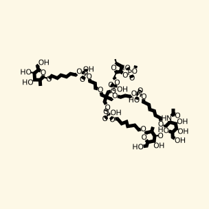 COP(=O)(O)OC1C[C@H](C)O[C@@H]1COP(=O)(O)OCC(COCCCOP(=O)(O)OCCCCCCO[C@@H]1OC(CO)[C@H](O)[C@H](O)C1C)(COCCCOP(=O)(O)OCCCCCCO[C@@H]1OC(CO)[C@H](O)[C@H](O)C1NC(C)=O)COOP(=O)(O)OCCCCCCO[C@@H]1OC(CO)[C@H](O)[C@H](O)C1C